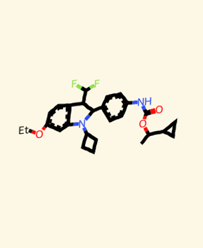 CCOc1ccc2c(c1)N(C1CCC1)C(c1ccc(NC(=O)OC(C)C3CC3)cc1)C2C(F)F